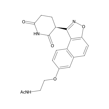 CC(=O)NCCOc1ccc2c(ccc3onc([C@@H]4CCC(=O)NC4=O)c32)c1